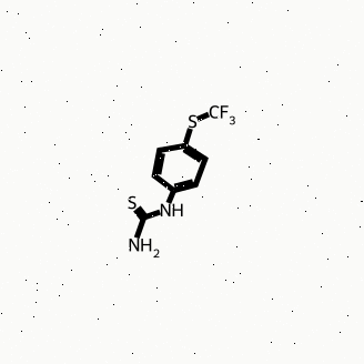 NC(=S)Nc1ccc(SC(F)(F)F)cc1